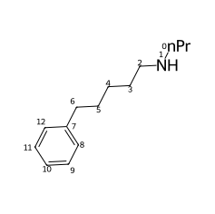 CCCNCCCCCc1ccccc1